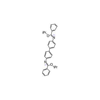 CC(C)O/C(=N\c1ccc(-c2ccc(/N=C(\OC(C)C)c3ccccc3)cc2)cc1)c1ccccc1